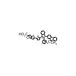 CC1(C)c2ccccc2-c2ccc(C3c4ccccc4C(c4ccc(-c5ccc(/C=C(\C#N)C(=O)O)s5)s4)N3c3ccccc3)cc21